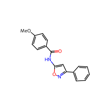 COc1ccc(C(=O)Nc2cc(-c3ccccc3)no2)cc1